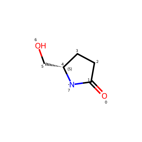 O=C1CC[C@@H](CO)[N]1